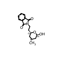 C[C@@H]1C[C@@H](CCN2C(=O)c3ccccc3C2=O)O[C@@H](O)C1